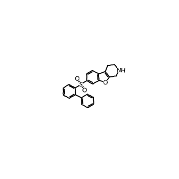 O=S(=O)(c1ccc2c3c(oc2c1)CNCC3)c1ccccc1-c1ccccc1